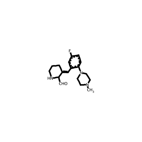 CN1CCN(c2ccc(F)cc2C=C2CCCNC2C=O)CC1